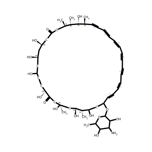 CC1OC(OC2/C=C/C=C/C=C/C=C/C=C/C=C/C=C/[C@H](C)[C@@H](O)[C@@H](C)[C@H](C)OC(=O)C[C@H](O)C[C@H](O)CC(O)CC[C@@H](O)C(=O)C[C@](C)(O)C[C@H](O)[C@@H](C)C(O)C2)C(O)C(N)C1O